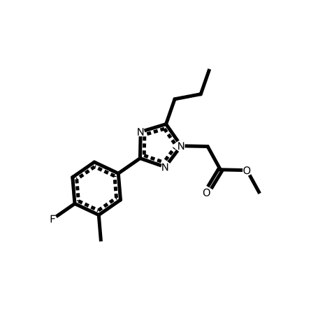 CCCc1nc(-c2ccc(F)c(C)c2)nn1CC(=O)OC